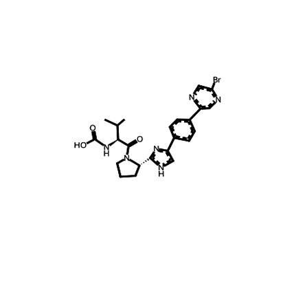 CC(C)[C@H](NC(=O)O)C(=O)N1CCC[C@H]1c1nc(-c2ccc(-c3cnc(Br)cn3)cc2)c[nH]1